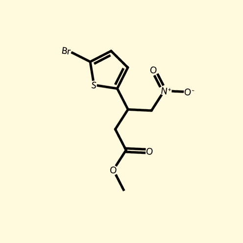 COC(=O)CC(C[N+](=O)[O-])c1ccc(Br)s1